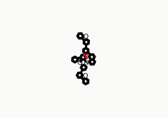 c1cc(N(c2ccc(-c3cccc4c3oc3ccccc34)cc2)c2cccc3c2oc2ccccc23)c2c(c1)ccc1c3cc(-c4ccc5oc6ccccc6c5c4)ccc3oc12